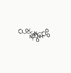 COc1ccc(Cc2nn3c(C(C)(CCCc4ccccc4)C(C)=O)nc(C)c3c(=O)[nH]2)cc1OC